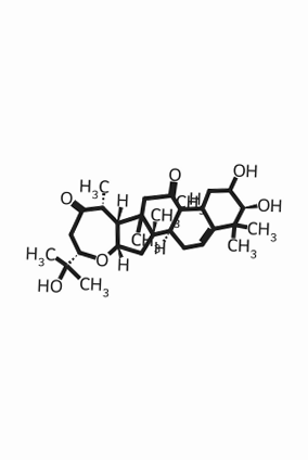 C[C@H]1C(=O)C[C@@H](C(C)(C)O)O[C@H]2C[C@@]3(C)[C@@H]4CC=C5[C@@H](CC(O)[C@@H](O)C5(C)C)[C@]4(C)C(=O)CC3(C)[C@H]21